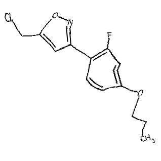 CCCOc1ccc(-c2cc(CCl)on2)c(F)c1